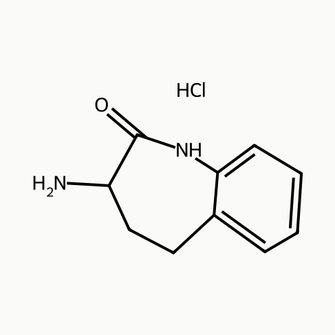 Cl.NC1CCc2ccccc2NC1=O